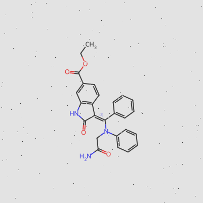 CCOC(=O)c1ccc2c(c1)NC(=O)/C2=C(/c1ccccc1)N(CC(N)=O)c1ccccc1